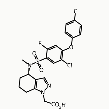 CN([C@@H]1CCCc2c1cnn2CC(=O)O)S(=O)(=O)c1cc(Cl)c(Oc2ccc(F)cc2)cc1F